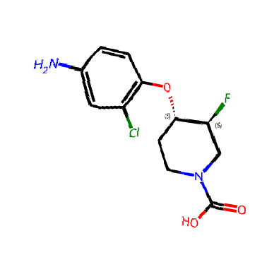 Nc1ccc(O[C@H]2CCN(C(=O)O)C[C@@H]2F)c(Cl)c1